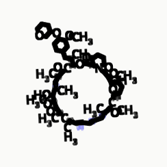 COC1CC(C[C@H](C)[C@@H]2CC(=O)[C@H](C)/C=C(\C)C(O)[C@@H](OC)C(=O)[C@H](C)C[C@H](C)/C=C/C=C/C=C(\C)[C@@H](OC)C[C@@H]3CC[C@@H](C)[C@@](O)(O3)C(=O)C(=O)N3CCCC[C@H]3C(=O)O2)CCC1OC1CCCOC1